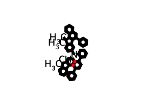 CC1(C)c2ccccc2-c2ccc(N(c3ccc4c(c3)-c3c(-c5ccccc5)cc5ccccc5c3C4(C)C)c3ccccc3-c3ccc(-c4ccccc4)cc3)cc21